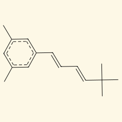 Cc1cc(C)cc(/C=C/C=C/C(C)(C)C)c1